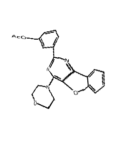 CC(=O)Oc1cccc(-c2nc(N3CCOCC3)c3oc4ccccc4c3n2)c1